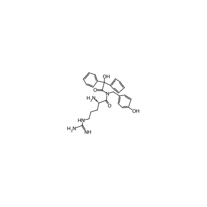 N=C(N)NCCC[C@@H](N)C(=O)N(Cc1ccc(O)cc1)C(=O)C(O)(c1ccccc1)c1ccccc1